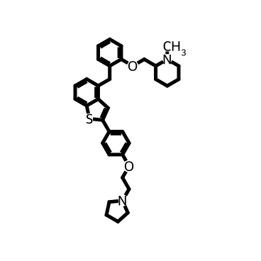 CN1CCCCC1COc1ccccc1Cc1cccc2sc(-c3ccc(OCCN4CCCC4)cc3)cc12